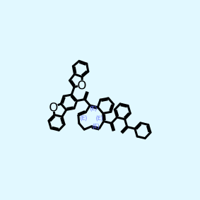 C=C(C1=CC=CCC1)c1ccccc1C(=C)C1=c2\cccc\c2=C(C(=C)c2cc3c(cc2-c2cc4ccccc4o2)oc2ccccc23)\C=C\CC\C=C\1